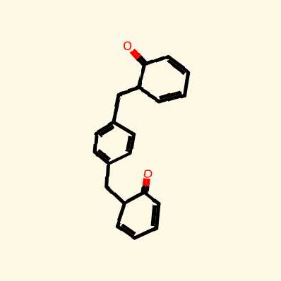 O=C1C=CC=CC1Cc1ccc(CC2C=CC=CC2=O)cc1